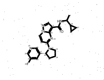 CC(NC(=O)c1cnn2ccc(N3CCC[C@@H]3c3cncc(F)c3)nc12)C1CC1